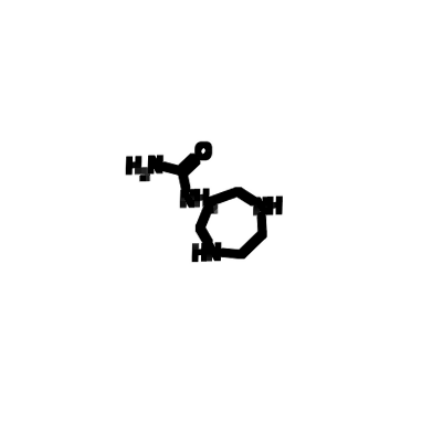 C1CNCCNC1.NC(N)=O